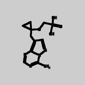 Nc1ncnc2c(CC3(OCP(=O)(O)O)CC3)cnn12